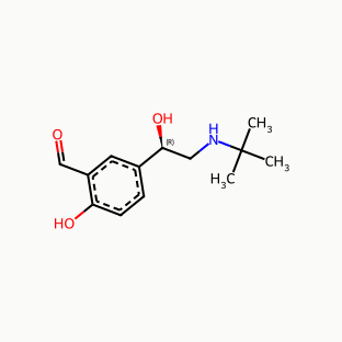 CC(C)(C)NC[C@H](O)c1ccc(O)c(C=O)c1